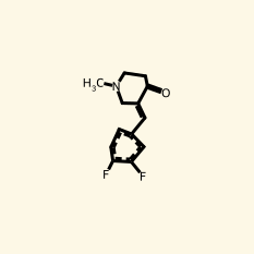 CN1CCC(=O)/C(=C/c2ccc(F)c(F)c2)C1